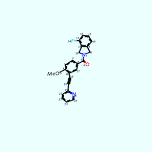 COc1ccc(C(=O)N2Cc3cccc(F)c3C2)cc1C#Cc1ccccn1